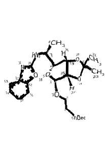 CCCCCCCCCCCCO[C@H]1O[C@H]([C@H](C)Nc2nc3ccccc3o2)[C@@H]2OC(C)(C)O[C@H]12